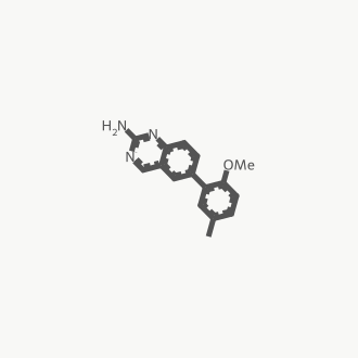 COc1ccc(C)cc1-c1ccc2nc(N)ncc2c1